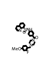 COc1ccc(CN2CCN(C(=O)c3ccc(N[S+]([O-])c4cccc5cccnc45)cc3)CC2)c(F)c1